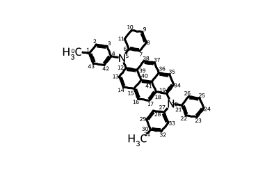 Cc1ccc(N(C2=CC=CCC2)c2ccc3ccc4c(N(c5ccccc5)c5ccc(C)cc5)ccc5ccc2c3c54)cc1